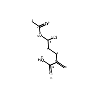 C=C(CCC(Cl)OC(C)=O)C(=O)O